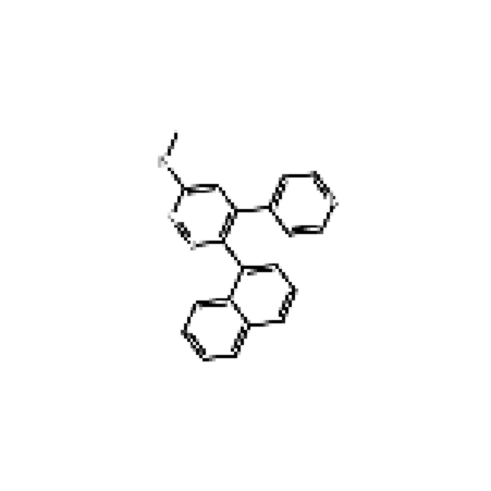 CNc1cc(-c2ccncc2)c(-c2cccc3ccccc23)nn1